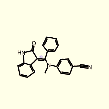 CN(/C(=C1/C(=O)Nc2ccccc21)c1ccccc1)c1ccc(C#N)cc1